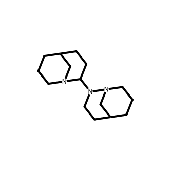 C1CC2CC[C](N3CCC4CCCN3C4)N(C1)C2